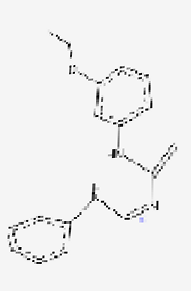 C=C(/N=C\Nc1ccccc1)Nc1cccc(OCC)c1